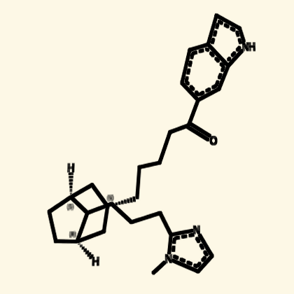 Cn1ccnc1CCCC1[C@@H]2CC[C@H]1C[C@H](CCCCC(=O)c1ccc3cc[nH]c3c1)C2